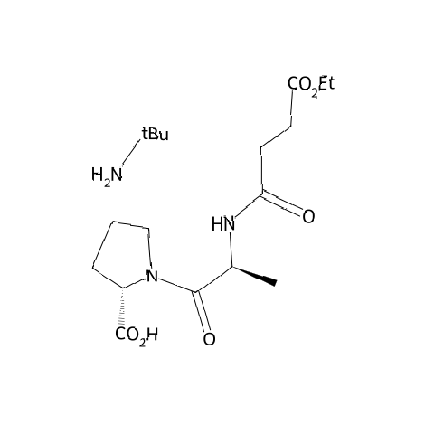 CC(C)(C)N.CCOC(=O)CCC(=O)N[C@@H](C)C(=O)N1CCC[C@H]1C(=O)O